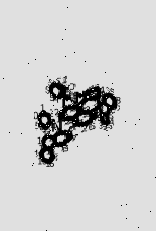 c1ccc(N(c2cccc3c2ccc2ccccc23)c2cc3c4c5c(cccc25)C2(c5ccccc5-c5ccccc52)c2cccc(c24)n3-c2ccccc2)cc1